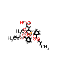 CCCCOC(=O)c1ccccc1OP(CC(CCC(=O)O)C(=O)OC)Oc1ccccc1C(=O)OCCCC